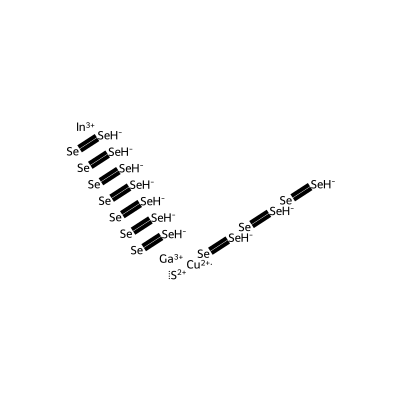 [Cu+2].[Ga+3].[In+3].[S+2].[Se]=[SeH-].[Se]=[SeH-].[Se]=[SeH-].[Se]=[SeH-].[Se]=[SeH-].[Se]=[SeH-].[Se]=[SeH-].[Se]=[SeH-].[Se]=[SeH-].[Se]=[SeH-]